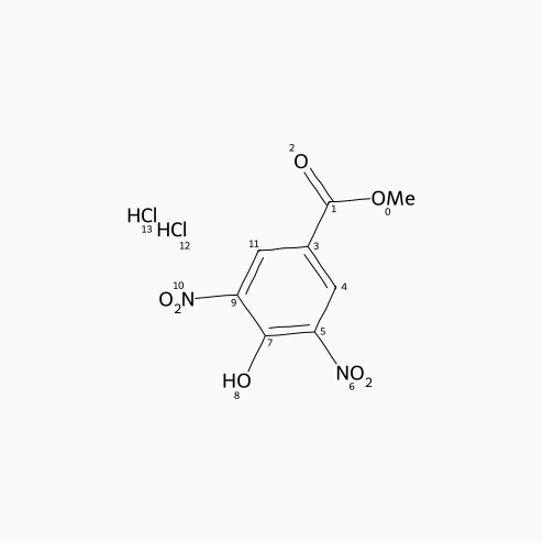 COC(=O)c1cc([N+](=O)[O-])c(O)c([N+](=O)[O-])c1.Cl.Cl